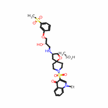 CCn1cc(S(=O)(=O)N2CCC3(CC2)C[C@@H](NC[C@H](O)COc2cccc(S(C)(=O)=O)c2)CO3)c(=O)c2ccccc21.CS(=O)(=O)O